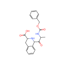 CC(NC(=O)OCc1ccccc1)C(=O)C1NC(C(=O)O)Cc2ccccc21